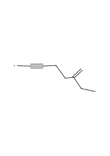 [CH2]C#CCCC(=C)CC